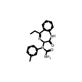 CCC1=NC(N(C(N)=O)c2cccc(C)c2)C(=O)Nc2ccccc21